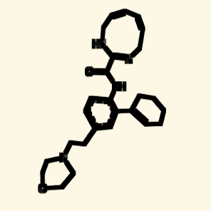 O=C(Nc1ccc(CCN2CCOCC2)cc1C1=CCCCC1)/C1=N/C/C=C\C=C/CN1